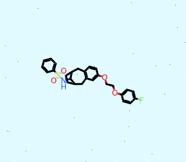 O=S(=O)(NC1C2CCC1Cc1cc(OCCOc3ccc(F)cc3)ccc1C2)c1ccccc1